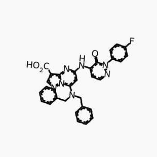 O=C(O)c1cnn2c(N(Cc3ccccc3)Cc3ccccc3)cc(Nc3ccnn(-c4ccc(F)cc4)c3=O)nc12